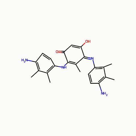 CC1=C(Nc2ccc(N)c(C)c2C)C(=O)C=C(O)/C1=N/c1ccc(N)c(C)c1C